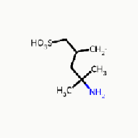 [CH2]C(CC(C)(C)N)CS(=O)(=O)O